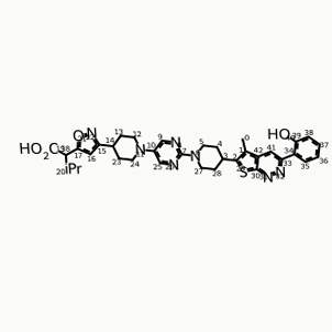 Cc1c(C2CCN(c3ncc(N4CCC(c5cc(C(C(=O)O)C(C)C)on5)CC4)cn3)CC2)sc2nnc(-c3ccccc3O)cc12